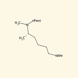 CCCCCN(C)[C@@H](C)CCCCNC